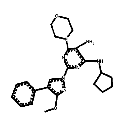 COc1nn(-c2nc(NC3CCCC3)c(N)c(N3CCOCC3)n2)cc1-c1ccccc1